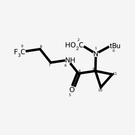 CC(C)(C)N(C(=O)O)C1(C(=O)NCCC(F)(F)F)CC1